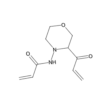 C=CC(=O)NN1CCOCC1C(=O)C=C